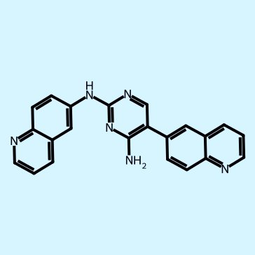 Nc1nc(Nc2ccc3ncccc3c2)ncc1-c1ccc2ncccc2c1